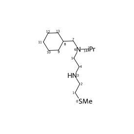 CSCCNCCN(CC1CCCCC1)C(C)C